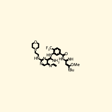 C=C/N=C1/C=NC(NCCN2CCOCC2)=N/C1=C(/N)Nc1cc(C(=O)NC(=N)/C=C(\OC)C(C)(C)C)ccc1C(F)(F)F